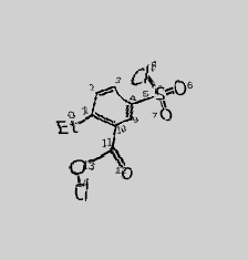 CCc1ccc(S(=O)(=O)Cl)cc1C(=O)OCl